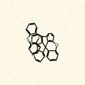 c1ccc2c(c1)Oc1cccc(N3c4ccccc4Sc4ccccc43)c1C21c2cccnc2-c2ncccc21